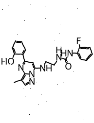 Cc1cnn2c(NCCNC(=O)Nc3ccccc3F)cc(-c3ccccc3O)nc12